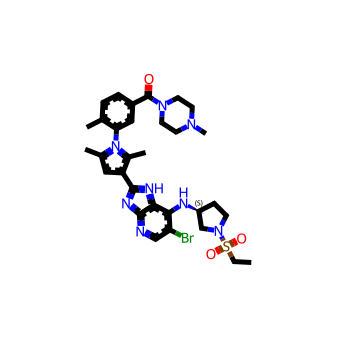 CCS(=O)(=O)N1CC[C@H](Nc2c(Br)cnc3nc(-c4cc(C)n(-c5cc(C(=O)N6CCN(C)CC6)ccc5C)c4C)[nH]c23)C1